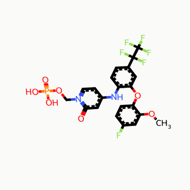 COc1cc(F)ccc1Oc1cc(C(F)(F)C(F)(F)F)ccc1Nc1ccn(COP(=O)(O)O)c(=O)c1